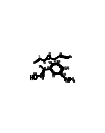 C=CCOCC=C.CC(=NO)c1cccc(N)c1